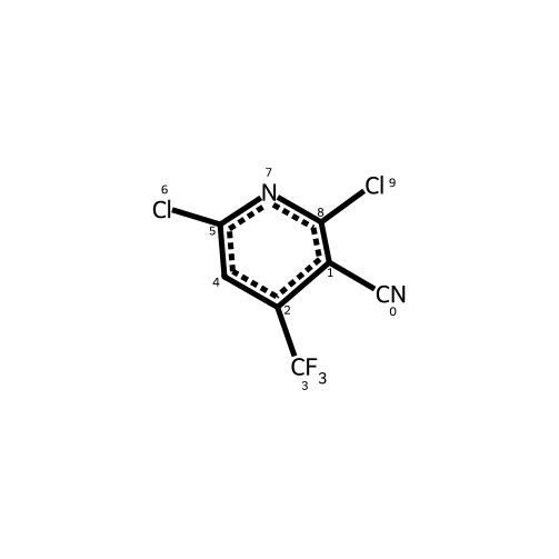 N#Cc1c(C(F)(F)F)cc(Cl)nc1Cl